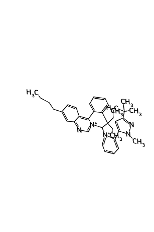 CCCCc1ccc2c3[n+](cnc2c1)C([n+]1ccccc1-c1cc(C(C)(C)C)nn1C)C(CC)(CC)c1ccccc1-3